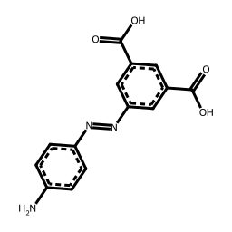 Nc1ccc(/N=N/c2cc(C(=O)O)cc(C(=O)O)c2)cc1